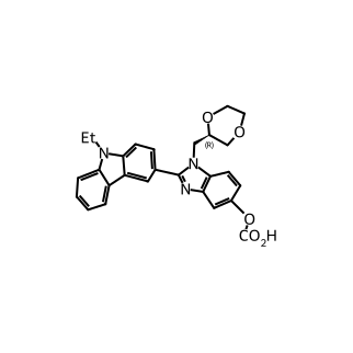 CCn1c2ccccc2c2cc(-c3nc4cc(OC(=O)O)ccc4n3C[C@@H]3COCCO3)ccc21